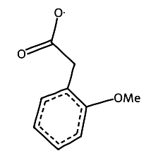 COc1ccccc1CC([O])=O